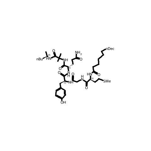 CCCCCCCCCCCCCCCC(=O)N[C@@H](CCSC)C(=O)NCC(=O)N[C@@H](Cc1ccc(O)cc1)C(=O)N[C@@H](CCC(N)=O)C(=O)NC(C)(C)C(=O)N[C@H](C)CCCC